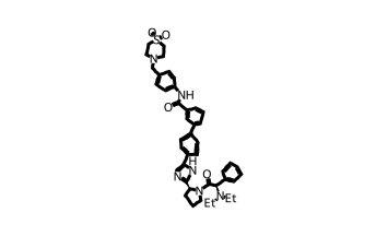 CCN(CC)[C@@H](C(=O)N1CCC[C@H]1c1ncc(-c2ccc(-c3cccc(C(=O)Nc4ccc(CN5CCS(=O)(=O)CC5)cc4)c3)cc2)[nH]1)c1ccccc1